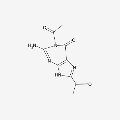 CC(=O)c1nc2c(=O)n(C(C)=O)c(N)nc2[nH]1